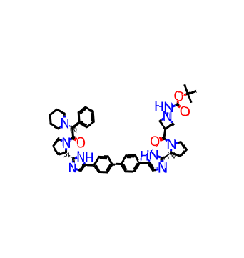 CC(C)(C)OC(=O)NN1CC(C(=O)N2CCC[C@H]2c2ncc(-c3ccc(-c4ccc(-c5cnc([C@@H]6CCCN6C(=O)[C@@H](c6ccccc6)N6CCCCC6)[nH]5)cc4)cc3)[nH]2)C1